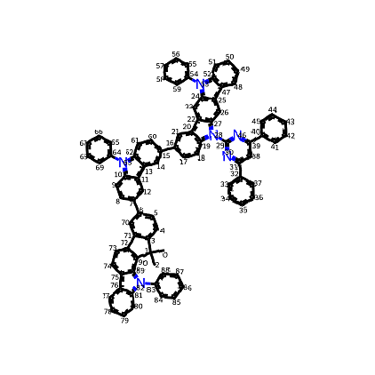 CC1(C)c2ccc(-c3ccc4c(c3)c3cc(-c5ccc6c(c5)c5cc7c(cc5n6-c5nc(-c6ccccc6)cc(-c6ccccc6)n5)c5ccccc5n7-c5ccccc5)ccc3n4-c3ccccc3)cc2-c2ccc3c4ccccc4n(-c4ccccc4)c3c21